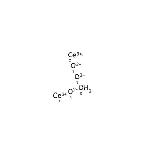 O.[Ce+3].[Ce+3].[O-2].[O-2].[O-2]